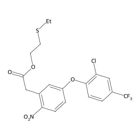 CCSCCOC(=O)Cc1cc(Oc2ccc(C(F)(F)F)cc2Cl)ccc1[N+](=O)[O-]